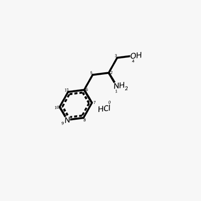 Cl.NC(CO)Cc1ccncc1